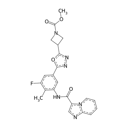 COC(=O)N1CC(c2nnc(-c3cc(F)c(C)c(NC(=O)c4cnc5ccccn45)c3)o2)C1